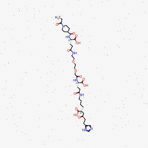 CCC(=O)N1CCC(C(=O)N[C@@H](CCC(=O)NCCOCCOCC(=O)N[C@@H](CCC(=O)NCCCC[C@H](CC(=O)CCc2cnc[nH]2)C(=O)O)C(=O)O)C(=O)O)CC1